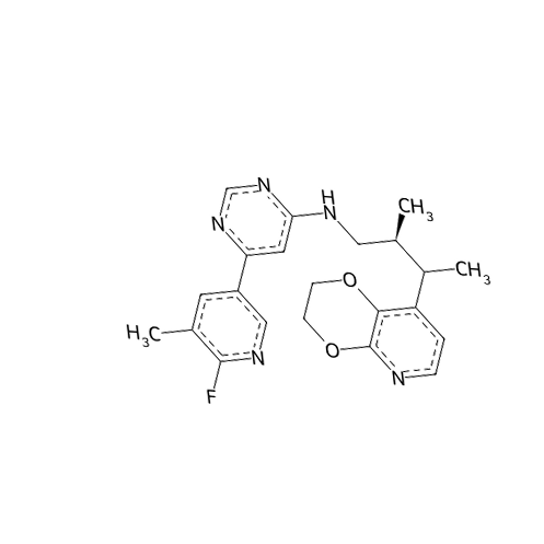 Cc1cc(-c2cc(NC[C@@H](C)C(C)c3ccnc4c3OCCO4)ncn2)cnc1F